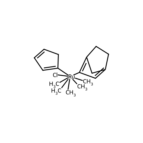 [CH3][Ru]([CH3])([CH3])([CH3])([CH3])([Cl])([C]1=CC=CC1)[C]1=C2CCC(=C1)C2